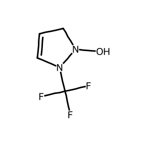 ON1CC=CN1C(F)(F)F